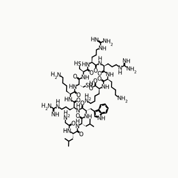 CC(C)C[C@H](NC(=O)CN)C(=O)N[C@@H](CC(C)C)C(=O)N[C@@H](Cc1c[nH]c2ccccc12)C(=O)N[C@@H](CCCNC(=N)N)C(=O)N[C@@H](CCCCN)C(=O)N[C@@H](CS)C(=O)N[C@@H](CS)C(=O)N[C@@H](CCCNC(=N)N)C(=O)N[C@@H](CCCNC(=N)N)C(=O)N[C@@H](CCCCN)C(=O)N[C@@H](CCCCN)C(=O)O